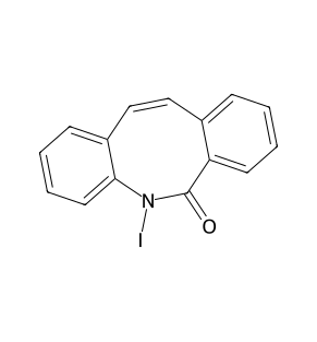 O=C1c2ccccc2/C=C\c2ccccc2N1I